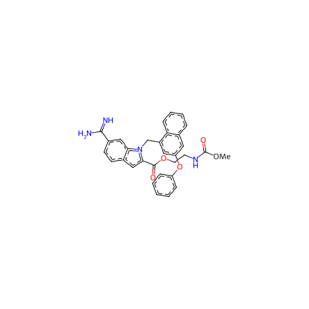 COC(=O)NCCOC(=O)c1cc2ccc(C(=N)N)cc2n1Cc1cc(Oc2ccccc2)cc2ccccc12